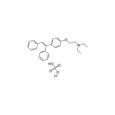 CCN(CC)CCOc1ccc(/C(=C/c2ccccc2)c2ccccc2)cc1.O=S(=O)([O-])O.[H+]